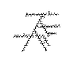 CCCCCCCC(=O)OCCCC(CCCCSSCCCCCC)C(=O)OCCN(CCCN(C)CCCN(CCOC(=O)C(CCCCOC(=O)CCCCCC)CCCCSSCCCCCC)CCOC(=O)C(CCCCSSCCCCCC)CCCOC(=O)CCCCCCC)CCOC(=O)C(CCCCCC(=O)CCCCCC)CCCCSSCCCCCC